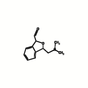 CN(C)CC1OC(C=O)c2ccccc21